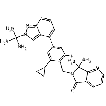 BC1(B)c2ncccc2C(=O)N1Cc1c(F)cc(-c2cccc3nn(C(B)(B)B)cc23)cc1C1CC1